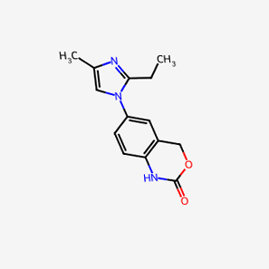 CCc1nc(C)cn1-c1ccc2c(c1)COC(=O)N2